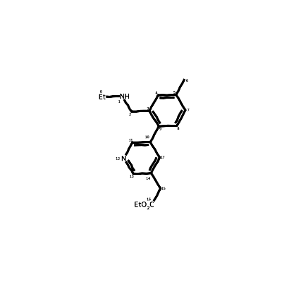 CCNCc1cc(C)ccc1-c1cncc(CC(=O)OCC)c1